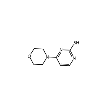 Sc1nccc(N2CCOCC2)n1